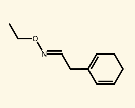 CCON=CCC1=CC[CH]C=C1